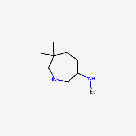 CCNC1CCC(C)(C)CNC1